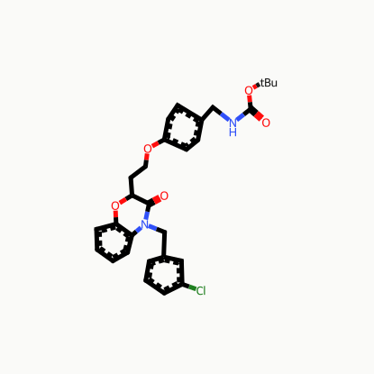 CC(C)(C)OC(=O)NCc1ccc(OCCC2Oc3ccccc3N(Cc3cccc(Cl)c3)C2=O)cc1